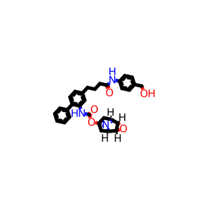 C[N+]1(C)[C@@H]2CC(OC(=O)Nc3cc(CCCC(=O)Nc4ccc(CO)cc4)ccc3-c3ccccc3)C[C@H]1[C@@H]1O[C@@H]12